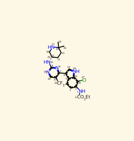 CCOC(=O)Nc1ccc2c(-c3nc(N[C@H]4CCC(C)(C)NC4)ncc3C(F)(F)F)c[nH]c2c1Cl